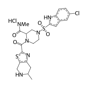 CNC(=O)C1CN(S(=O)(=O)c2cc3cc(Cl)ccc3[nH]2)CCN1C(=O)c1nc2c(s1)CNC(C)C2.Cl